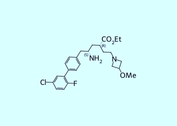 CCOC(=O)[C@H](CCN1CC(OC)C1)C[C@H](N)Cc1ccc(-c2cc(Cl)ccc2F)cc1